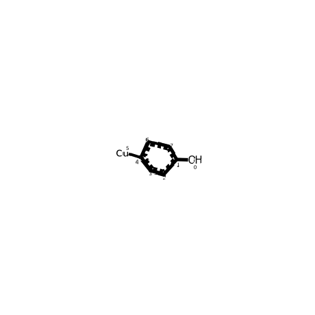 Oc1cc[c]([Cu])cc1